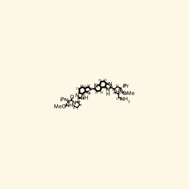 CON[C@H](C(=O)N1CCC[C@H]1c1nc2ccc3cc(-c4ccc5c(ccc6nc([C@H](CCCN)C[C@@H](NOC)C(C)C)[nH]c65)n4)sc3c2[nH]1)C(C)C